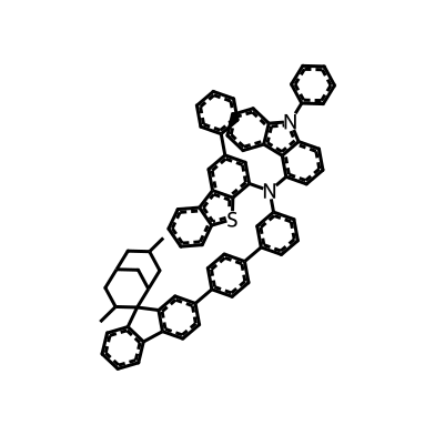 CC1CC2CC(C)C3(c4ccccc4-c4ccc(-c5ccc(-c6cccc(N(c7cc(-c8ccccc8)cc8c7sc7ccccc78)c7cccc8c7c7ccccc7n8-c7ccccc7)c6)cc5)cc43)C(C1)C2